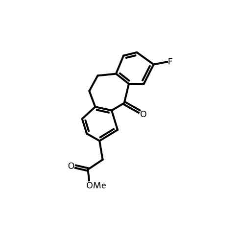 COC(=O)Cc1ccc2c(c1)C(=O)c1cc(F)ccc1CC2